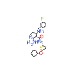 Nc1nccc(NCc2cccc(F)c2)c1C(=O)NCc1ccc(Oc2ccccc2)s1